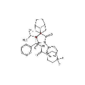 CC(C)N1C(=O)N(c2ccccc2)C(=O)C12CC1CCC(C2)N1CC[C@H](NC(=O)C1CCC(F)(F)CC1)c1ccccc1